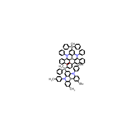 Cc1ccc(N2c3ccc(C)cc3B3c4cc(C(C)(C)C)ccc4N(c4ccc(C(C)(C)C)cc4)c4cc([Si](C)(c5ccccc5)c5ccc(-c6cc7ccccc7c7c6B6c8ccc9ccccc9c8N(c8ccccc8)c8cc([Si](C)(c9ccccc9)c9ccccc9)cc(c86)N7c6ccccc6)cc5)cc2c43)cc1